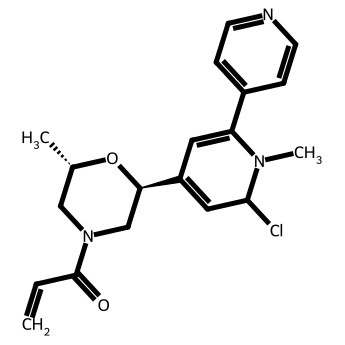 C=CC(=O)N1C[C@H](C)O[C@@H](C2=CC(Cl)N(C)C(c3ccncc3)=C2)C1